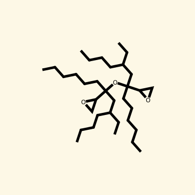 CCCCCCC(CC(CC)CCCC)(OC(CCCCCC)(CC(CC)CCCC)C1CO1)C1CO1